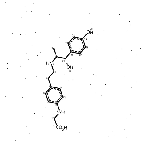 C[C@H](NCCc1ccc(NCC(=O)O)cc1)[C@@H](O)c1ccc(O)cc1